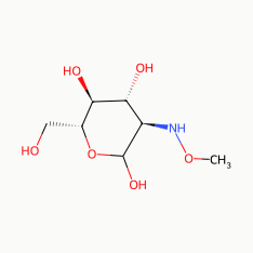 CON[C@H]1C(O)O[C@H](CO)[C@@H](O)[C@@H]1O